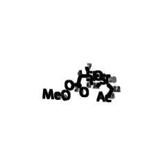 COOC(=O)C[Si](C)(C)O[Si](C)(C)CC(C)=O